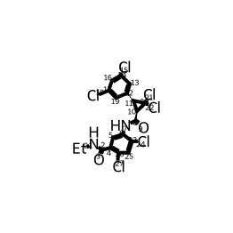 CCNC(=O)c1cc(NC(=O)[C@H]2[C@H](c3cc(Cl)cc(Cl)c3)C2(Cl)Cl)c(Cl)cc1Cl